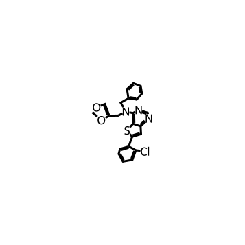 Clc1ccccc1-c1cc2ncnc(N(CC3=COCO3)Cc3ccccc3)c2s1